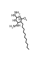 CCCCCCCCCCCN1C(NN)NC(NN)NC1OC